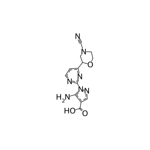 N#CN1CCOC(c2ccnc(-n3ncc(C(=O)O)c3N)n2)C1